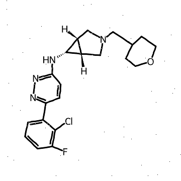 Fc1cccc(-c2ccc(N[C@@H]3[C@@H]4CN(CC5CCOCC5)C[C@@H]43)nn2)c1Cl